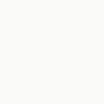 CC(C)(C)C(=O)C([C]=O)Cc1ccccc1